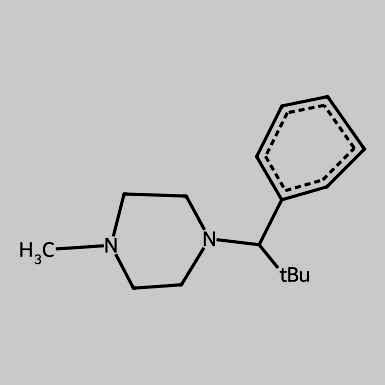 CN1CCN(C(c2ccccc2)C(C)(C)C)CC1